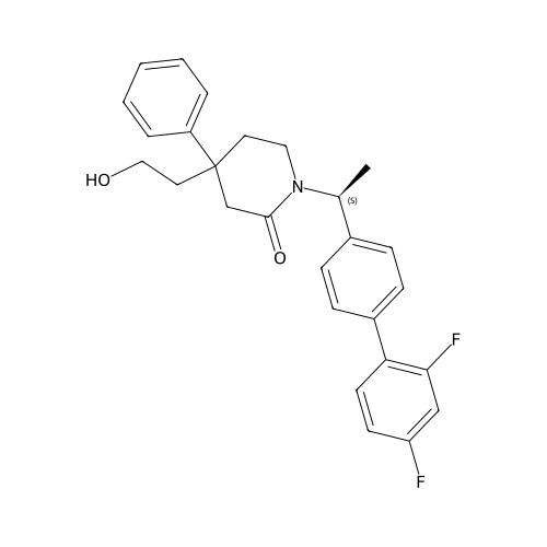 C[C@@H](c1ccc(-c2ccc(F)cc2F)cc1)N1CCC(CCO)(c2ccccc2)CC1=O